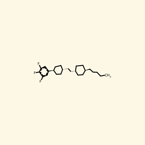 CCCCC[C@H]1CC[C@H](CC[C@H]2CC[C@H](c3cc(F)c(F)c(F)c3)CC2)CC1